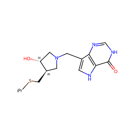 CC(C)SC[C@@H]1CN(Cc2c[nH]c3c(=O)[nH]cnc23)C[C@H]1O